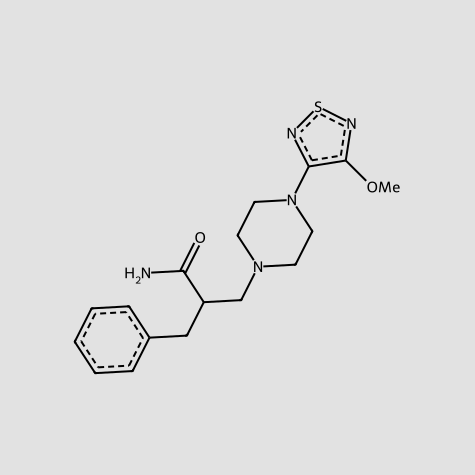 COc1nsnc1N1CCN(CC(Cc2ccccc2)C(N)=O)CC1